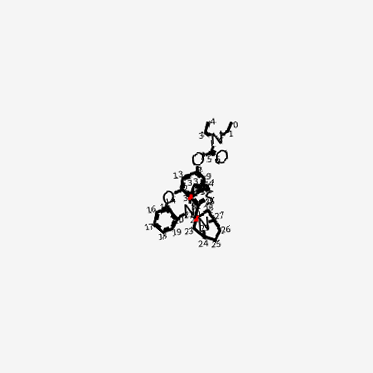 CCN(CC)C(=O)Oc1ccc2c(c1)Oc1ccccc1N2C1CC2CCC(C1)N2Cc1cccs1